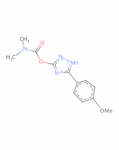 COc1ccc(-c2nc(OC(=O)N(C)C)n[nH]2)cc1